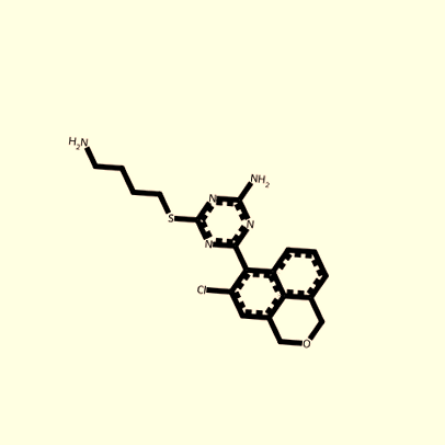 NCCCCSc1nc(N)nc(-c2c(Cl)cc3c4c(cccc24)COC3)n1